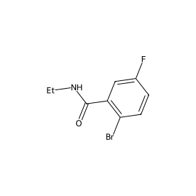 CCNC(=O)c1cc(F)ccc1Br